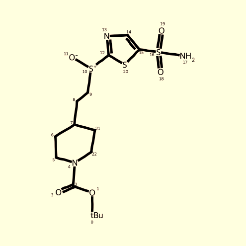 CC(C)(C)OC(=O)N1CCC(CC[S+]([O-])c2ncc(S(N)(=O)=O)s2)CC1